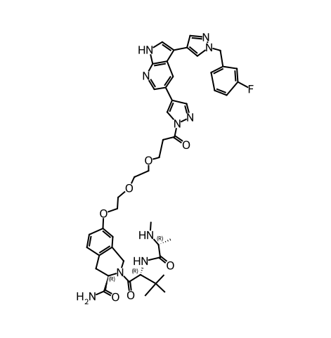 CN[C@H](C)C(=O)N[C@@H](C(=O)N1Cc2cc(OCCOCCOCCC(=O)n3cc(-c4cnc5[nH]cc(-c6cnn(Cc7cccc(F)c7)c6)c5c4)cn3)ccc2C[C@@H]1C(N)=O)C(C)(C)C